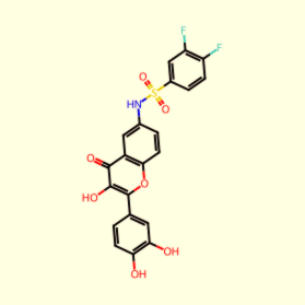 O=c1c(O)c(-c2ccc(O)c(O)c2)oc2ccc(NS(=O)(=O)c3ccc(F)c(F)c3)cc12